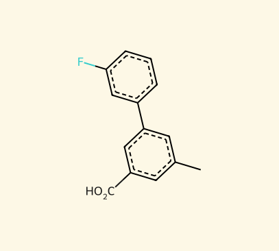 Cc1cc(C(=O)O)cc(-c2cccc(F)c2)c1